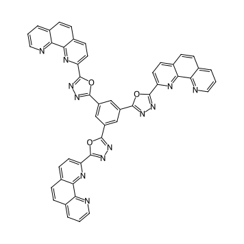 c1cnc2c(c1)ccc1ccc(-c3nnc(-c4cc(-c5nnc(-c6ccc7ccc8cccnc8c7n6)o5)cc(-c5nnc(-c6ccc7ccc8cccnc8c7n6)o5)c4)o3)nc12